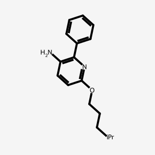 CC(C)CCCOc1ccc(N)c(-c2ccccc2)n1